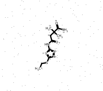 CCSc1nnc(NC(=O)[CH]C(C)(C)C(N)=O)s1